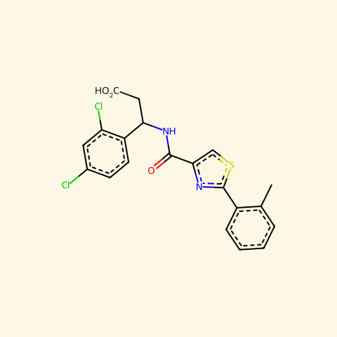 Cc1ccccc1-c1nc(C(=O)NC(CC(=O)O)c2ccc(Cl)cc2Cl)cs1